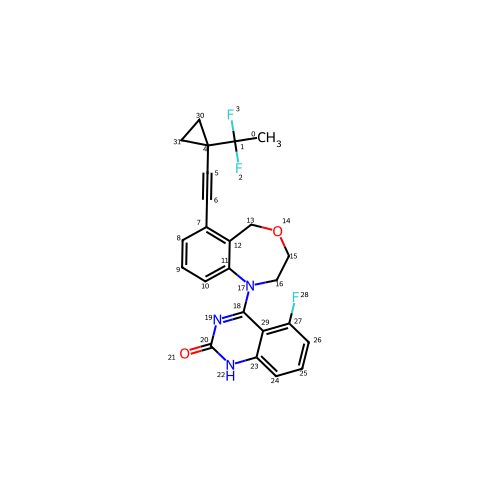 CC(F)(F)C1(C#Cc2cccc3c2COCCN3c2nc(=O)[nH]c3cccc(F)c23)CC1